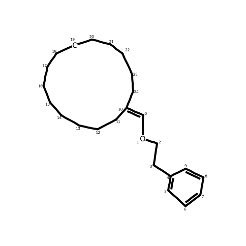 C(OCCc1ccccc1)=C1CCCCCCCCCCCCCC1